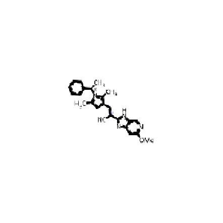 COc1cc2nc(/C(C#N)=C/c3cc(C)n([C@H](C)c4ccccc4)c3C)[nH]c2cn1